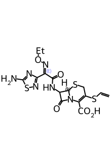 C=CSC1=C(C(=O)O)N2C(=O)C(NC(=O)/C(=N/OCC)c3nsc(N)n3)[C@H]2SC1